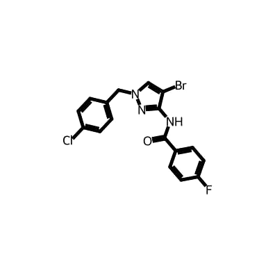 O=C(Nc1nn(Cc2ccc(Cl)cc2)cc1Br)c1ccc(F)cc1